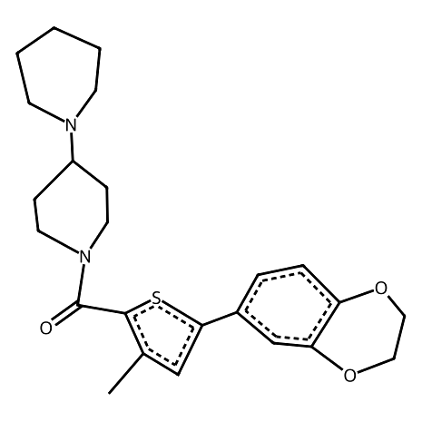 Cc1cc(-c2ccc3c(c2)OCCO3)sc1C(=O)N1CCC(N2CCCCC2)CC1